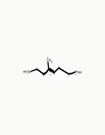 CCCC(C)CC/C=C(\C)CCN